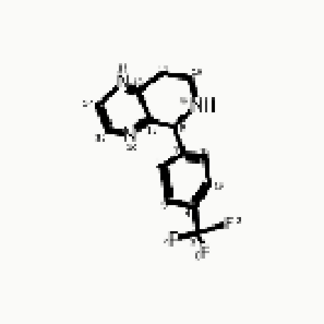 FC(F)(F)c1ccc(C2NCCc3nccnc32)cc1